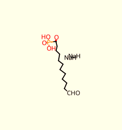 O=CCCCCCCCCCCC(=O)P(=O)(O)O.[NaH].[NaH]